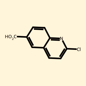 O=C(O)c1ccc2nc(Cl)ccc2c1